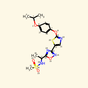 CC(C)Oc1ccc(Oc2ncc(-c3noc(C(C)NS(C)(=O)=O)n3)s2)cc1